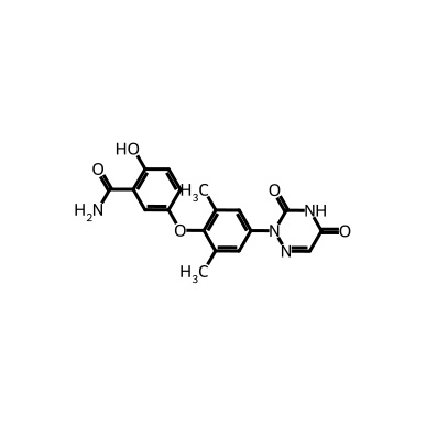 Cc1cc(-n2ncc(=O)[nH]c2=O)cc(C)c1Oc1ccc(O)c(C(N)=O)c1